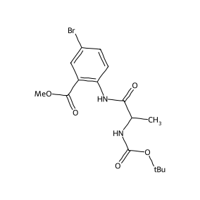 COC(=O)c1cc(Br)ccc1NC(=O)C(C)NC(=O)OC(C)(C)C